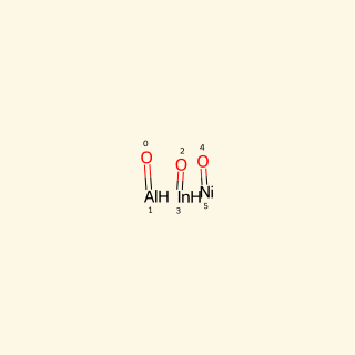 [O]=[AlH].[O]=[InH].[O]=[Ni]